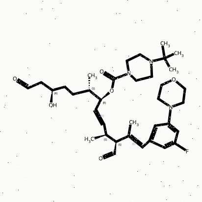 C/C(=C\c1cc(F)cc(N2CCOCC2)c1)[C@@H](C=O)[C@@H](C)/C=C/[C@H](OC(=O)N1CCN(C(C)(C)C)CC1)[C@@H](C)CC[C@@H](O)CC=O